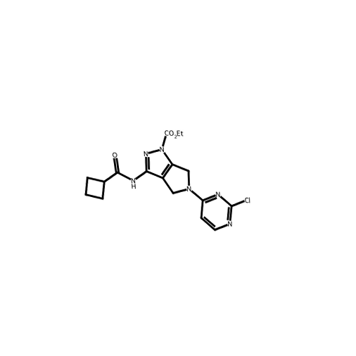 CCOC(=O)n1nc(NC(=O)C2CCC2)c2c1CN(c1ccnc(Cl)n1)C2